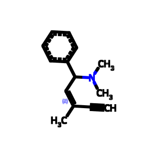 C#C/C(C)=C\C(c1ccccc1)N(C)C